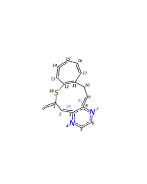 C=C1/C=c2/nccn/c2=C/CC2=C(C=C=CC=C2)S1